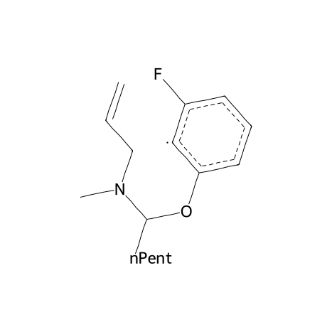 C=CCN(C)C(CCCCC)Oc1[c]c(F)ccc1